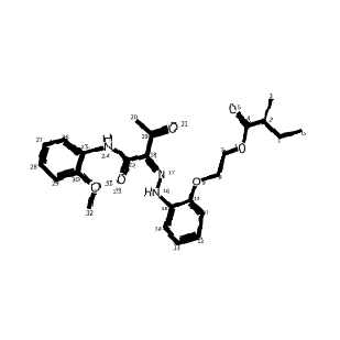 CC[C@H](C)C(=O)OCCOc1ccccc1N/N=C(/C(C)=O)C(=O)Nc1ccccc1OC